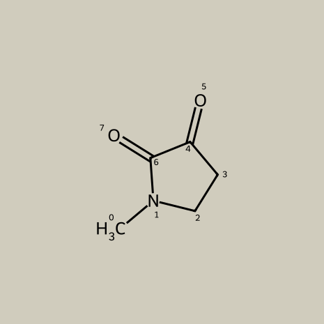 CN1CCC(=O)C1=O